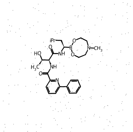 CC(C)C[C@H](NC(=O)[C@@H](NC(=O)c1cccc(-c2ccccc2)n1)[C@@H](C)O)B1OCCN(C)CCO1